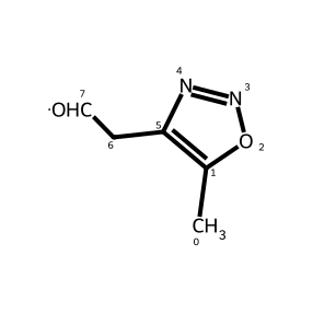 Cc1onnc1C[C]=O